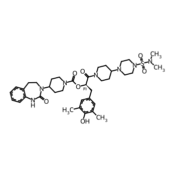 Cc1cc(C[C@@H](OC(=O)N2CCC(N3CCc4ccccc4NC3=O)CC2)C(=O)N2CCC(N3CCN(S(=O)(=O)N(C)C)CC3)CC2)cc(C)c1O